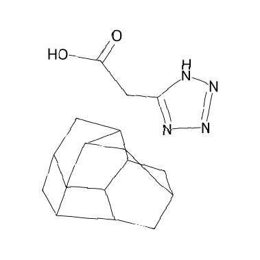 C1C2CC3C4CC5CC(C14)C(C2)C3C5.O=C(O)Cc1nnn[nH]1